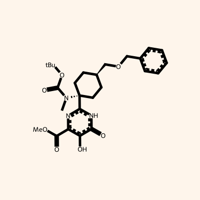 COC(=O)c1nc([C@]2(N(C)C(=O)OC(C)(C)C)CC[C@H](COCc3ccccc3)CC2)[nH]c(=O)c1O